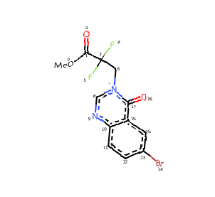 COC(=O)C(F)(F)Cn1cnc2ccc(Br)cc2c1=O